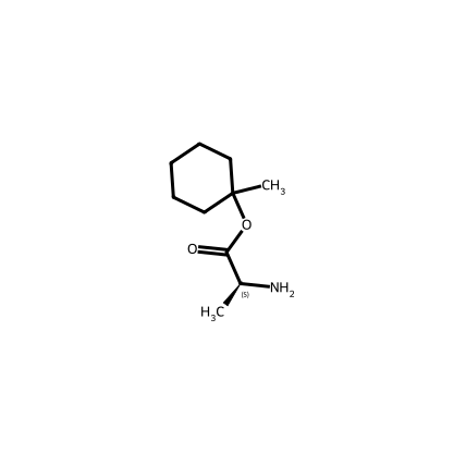 C[C@H](N)C(=O)OC1(C)CCCCC1